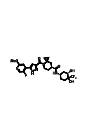 COc1cc(-c2cc(C(=O)N3CC[C@H](C(=O)N[C@H]4CC[C@](O)(C(F)(F)F)[C@@H](O)C4)CC34CC4)n[nH]2)c(F)cn1